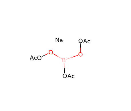 CC(=O)OOB(OOC(C)=O)OC(C)=O.[Na]